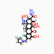 C=C1C(C(N)=O)=C(O)[C@@H](N(C)C)[C@@H]2C[C@@H]3Cc4c(F)c(CN5CC[C@H](F)C5)cc(O)c4C(=O)C3=C(O)[C@]12O